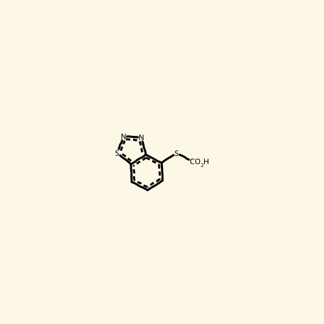 O=C(O)Sc1cccc2snnc12